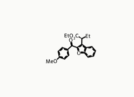 CCOC(=O)[C@@H](CC)c1c(C(=O)c2ccc(OC)cc2)oc2ccccc12